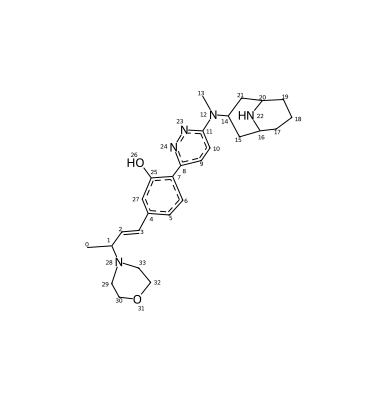 CC(/C=C/c1ccc(-c2ccc(N(C)C3CC4CCCC(C3)N4)nn2)c(O)c1)N1CCOCC1